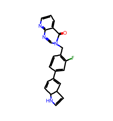 O=c1c2cccnc2ncn1Cc1ccc(C2=CC3C=CNC3C=C2)cc1F